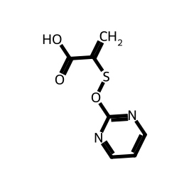 C=C(SOc1ncccn1)C(=O)O